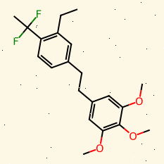 CCc1cc(CCc2cc(OC)c(OC)c(OC)c2)ccc1C(C)(F)F